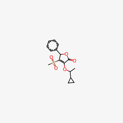 CC(OC1=C(S(C)(=O)=O)C(c2ccccc2)OC1=O)C1CC1